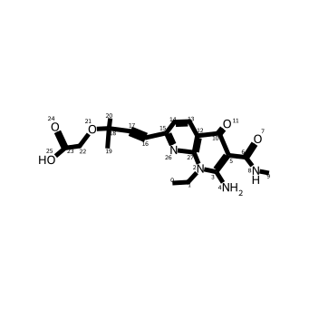 CCn1c(N)c(C(=O)NC)c(=O)c2ccc(C#CC(C)(C)OCC(=O)O)nc21